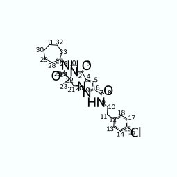 CN1C(=O)c2cc(C(=O)NCCc3ccc(Cl)cc3)nn2CC1(C)C(=O)NC1CCCCCC1